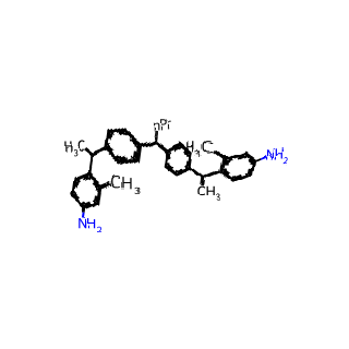 CCCC(c1ccc(C(C)c2ccc(N)cc2C)cc1)c1ccc(C(C)c2ccc(N)cc2C)cc1